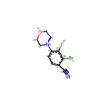 N#Cc1ccc(N2CCOCC2)c(F)c1Br